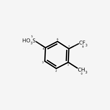 Cc1ccc(S(=O)(=O)O)cc1C(F)(F)F